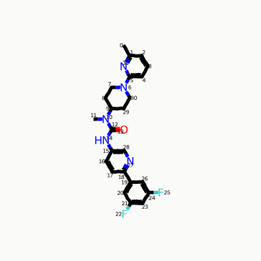 Cc1cccc(N2CCC(N(C)C(=O)Nc3ccc(-c4cc(F)cc(F)c4)nc3)CC2)n1